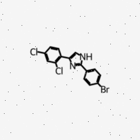 Clc1ccc(-c2c[nH]c(-c3ccc(Br)cc3)n2)c(Cl)c1